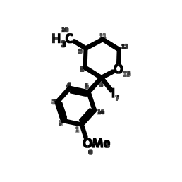 COc1cccc(C2(I)CC(C)CCO2)c1